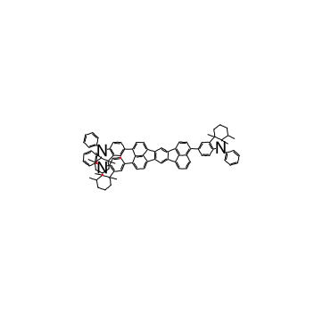 CC1CCCC2(C)c3cc(-c4ccc5c6cc7c(cc6c6cccc4c65)c4ccc(-c5ccc6c(c5)C5(C)CCCC(C)C5(C)N6c5ccccc5)c5c(-c6ccc8c(c6)C6(C)CCCC(C)C6(C)N8c6ccccc6)ccc7c54)ccc3N(c3ccccc3)C12C